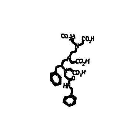 O=C(O)CN(CCN(CC(=O)O)CC(Cc1ccccc1)N(CC(=O)O)CC(=O)NCc1ccccc1)CC(=O)O